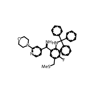 CSCc1cc(C(=N)c2ccnc(N3CCOCC3)c2)c(NC(c2ccccc2)(c2ccccc2)c2ccccc2)cc1F